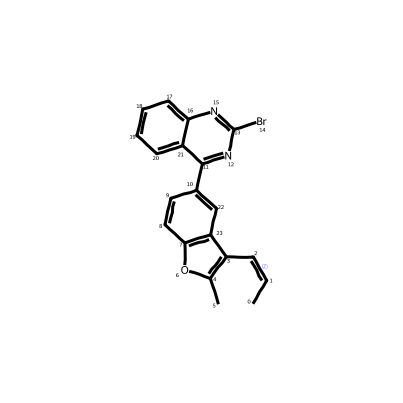 C/C=C\c1c(C)oc2ccc(-c3nc(Br)nc4ccccc34)cc12